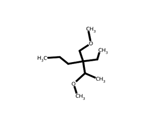 CCCC(CC)(COC)C(C)OC